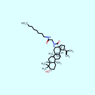 C=C(C)[C@@H]1CC[C@]2(C(=O)NCC(=O)NCCCCCCCC(=O)O)CC[C@]3(C)[C@H](CCC4[C@@]5(C)CC[C@H](O)C(C)(C)[C@@H]5CC[C@]43C)[C@@H]12